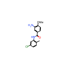 COc1ccc(C(=O)Nc2cc(Cl)ccc2C)cc1N